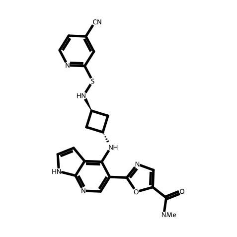 CNC(=O)c1cnc(-c2cnc3[nH]ccc3c2N[C@H]2C[C@H](NSc3cc(C#N)ccn3)C2)o1